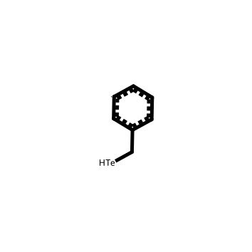 [TeH]Cc1c[c]ccc1